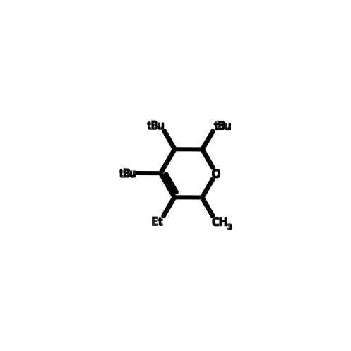 CCC1=C(C(C)(C)C)C(C(C)(C)C)C(C(C)(C)C)OC1C